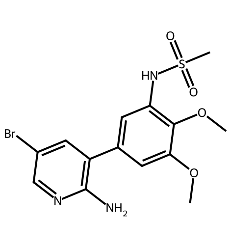 COc1cc(-c2cc(Br)cnc2N)cc(NS(C)(=O)=O)c1OC